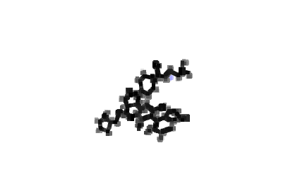 Cc1cc2[nH]ncc2c(-c2c(Cl)cc3c(nc(OCC4CCCN4C)c4cnn(C5CCN(C(=O)/C=C/CN(C)C)CC5)c43)c2F)c1C